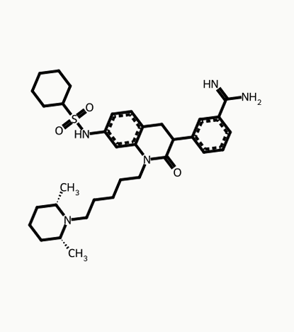 C[C@@H]1CCC[C@H](C)N1CCCCCN1C(=O)C(c2cccc(C(=N)N)c2)Cc2ccc(NS(=O)(=O)C3CCCCC3)cc21